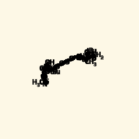 Cc1ncsc1-c1ccc(CNC(=O)[C@@H]2C[C@@H](O)CN2C(=O)C(NC(=O)COCCOCCOCCOCCc2ccc(COC(C)C(CCC(N)=O)NC(=O)OC(C)(C)C)cc2)C(C)(C)C)cc1